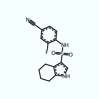 N#Cc1ccc(NS(=O)(=O)c2c[nH]c3c2CCCC3)c(F)c1